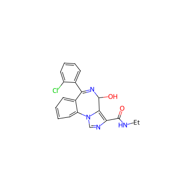 CCNC(=O)c1ncn2c1C(O)N=C(c1ccccc1Cl)c1ccccc1-2